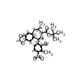 Cc1c([N+](=O)[O-])ccc(C2=NN(C(=O)OC(C)(C)C)C(C)Cc3cc4c(cc32)OCO4)c1Br